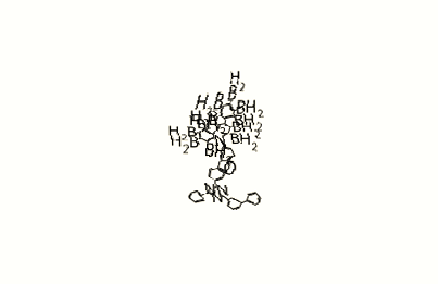 Bc1c(B)c(B)c(-c2c(B)c(B)c3c(c2B)c2c(B)c(B)c(B)c(B)c2n3-c2ccc3oc4cc(-c5nc(-c6ccccc6)nc(-c6cccc(-c7ccccc7)c6)n5)ccc4c3c2)c(B)c1B